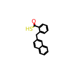 O=C(S)c1ccccc1Cc1ccc2ccccc2c1